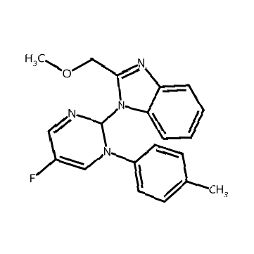 COCc1nc2ccccc2n1C1N=CC(F)=CN1c1ccc(C)cc1